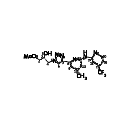 COCC(O)Cn1cc(-c2cc(C)cc(Nc3cc(C(F)(F)F)ccn3)n2)nn1